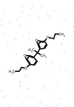 CCCOc1ccc(C(C)(C)c2ccc(OCCC)c3c2O3)c2c1O2